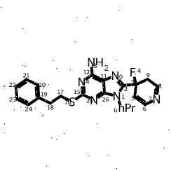 CCCn1c(C2(F)C=CN=CC2)nc2c(N)nc(SCCc3ccccc3)nc21